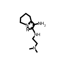 CN(C)CCNc1nn2c(c1N)CCCC2